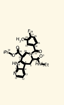 CCNC(=O)C1Cc2c([nH]c3ncccc23)C(C(=O)OC(C)C)=CN1C(=O)c1ccc(F)c(C)c1